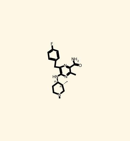 Cc1nc(N[C@@H]2CCN(C)C[C@H]2C)c(Cc2ccc(F)cc2)nc1C(N)=O